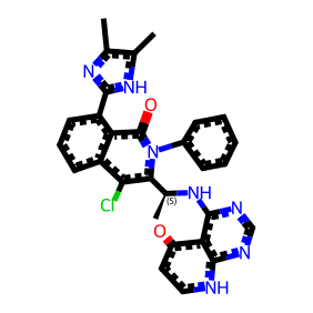 Cc1nc(-c2cccc3c(Cl)c([C@H](C)Nc4ncnc5[nH]ccc(=O)c45)n(-c4ccccc4)c(=O)c23)[nH]c1C